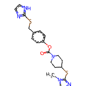 Cn1ccnc1SC1CCN(C(=O)Oc2ccc(CSc3ncc[nH]3)cc2)CC1